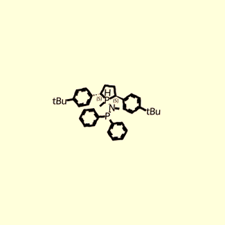 CN(P(c1ccccc1)c1ccccc1)[PH]1(C)[C@H](c2ccc(C(C)(C)C)cc2)CC[C@H]1c1ccc(C(C)(C)C)cc1